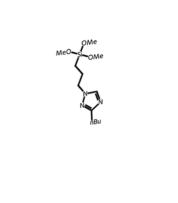 CCCCc1ncn(CCC[Si](OC)(OC)OC)n1